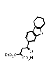 CCOC(=O)C(CC(=O)c1ccc2c3c(oc2c1)CCCC3)C(=O)O